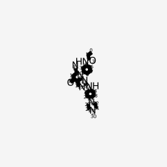 C=CC(=O)Nc1cccc(-n2c(C#N)cc(=O)c3cnc(Nc4ccc(N5CCN(C)CC5)cc4)nc32)c1